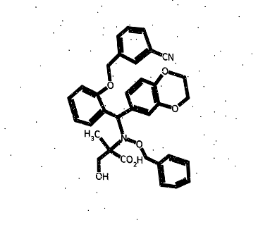 CC(CO)(C(=O)O)N(OCc1ccccc1)C(c1ccc2c(c1)OCCO2)c1ccccc1OCc1cccc(C#N)c1